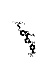 Cc1nc2cc(OCCN(C)C)ccn2c1-c1ccnc(Nc2ccc(C(=O)NO)cc2)n1